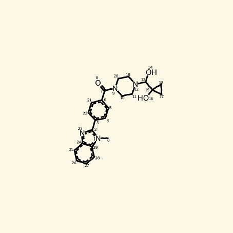 Cn1c(-c2ccc(C(=O)N3CCN(C(O)C4(O)CC4)CC3)cc2)nc2ccccc21